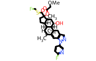 COCC(=O)O[C@]1(C(=O)SCF)CC[C@H]2[C@@H]3C[C@H](C)C4=Cc5c(cnn5-c5ccc(F)nc5)C[C@]4(C)[C@H]3[C@@H](O)C[C@@]21C